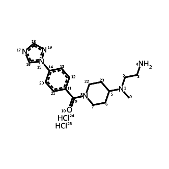 CN(CCN)C1CCN(C(=O)c2ccc(-n3cncn3)cc2)CC1.Cl.Cl